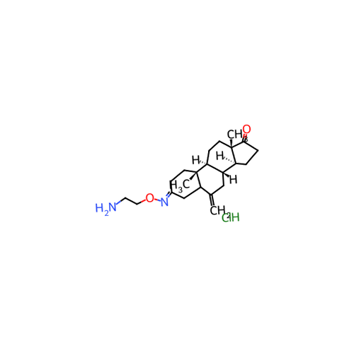 C=C1C[C@@H]2[C@H](CC[C@]3(C)C(=O)CC[C@@H]23)[C@@]2(C)CCC(=NOCCN)CC12.Cl